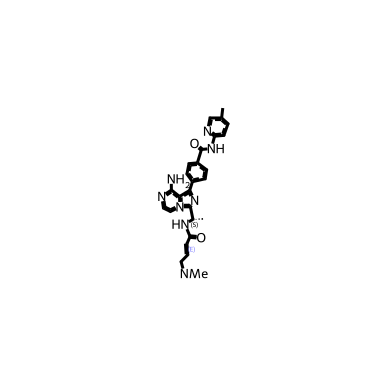 CNC/C=C/C(=O)N[C@@H](C)c1nc(-c2ccc(C(=O)Nc3ccc(C)cn3)cc2)c2c(N)nccn12